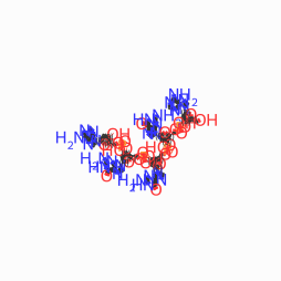 Nc1nc2c(ncn2[C@H]2C[C@H](OP(=O)(O)OC[C@H]3O[C@@H](n4cnc5c(=O)[nH]c(N)nc54)C[C@@H]3OP(=O)(O)OC[C@H]3O[C@@H](n4cnc5c(=O)[nH]c(N)nc54)C[C@@H]3OP(=O)(O)OC[C@H]3O[C@@H](n4cnc5c(N)ncnc54)C[C@@H]3O)[C@@H](COP(=O)(O)O[C@H]3C[C@H](n4cnc5c(N)ncnc54)O[C@@H]3CO)O2)c(=O)[nH]1